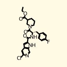 CCOC(=O)C1CCCN(C(=O)[C@H](Cc2ccc(F)cc2)NC(=O)c2cc3cc(Cl)ncc3[nH]2)C1